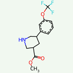 COC(=O)C1CNCC(c2cccc(OC(F)(F)F)c2)C1